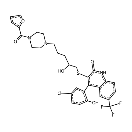 O=C(c1ccco1)N1CCN(CCCC(O)CSc2c(-c3cc(Cl)ccc3O)c3cc(C(F)(F)F)ccc3[nH]c2=O)CC1